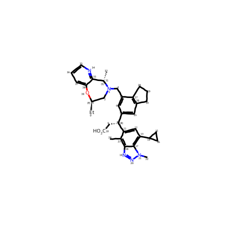 CC[C@@H]1CN(Cc2cc([C@@H](CC(=O)O)c3cc(C4CC4)c4c(nnn4C)c3C)cc3c2CCC3)[C@@H](C)c2ncccc2O1